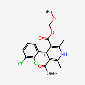 CCCCOCOC(=O)C1=C(C)NC(C)=C(C(=O)OC)[C@@H]1c1cccc(Cl)c1Cl